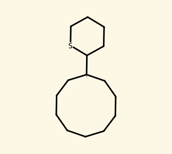 C1CCCC[C](C2CCCCS2)CCCC1